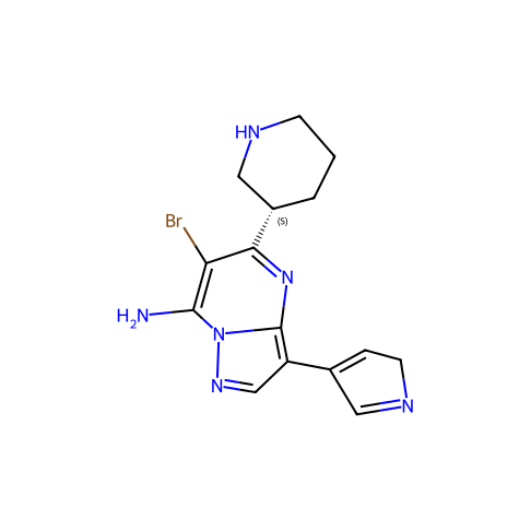 Nc1c(Br)c([C@H]2CCCNC2)nc2c(C3=CCN=C3)cnn12